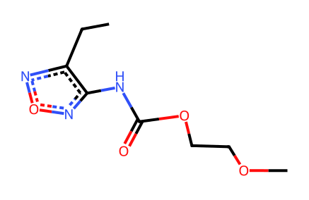 CCc1nonc1NC(=O)OCCOC